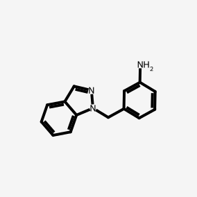 Nc1cccc(Cn2ncc3ccccc32)c1